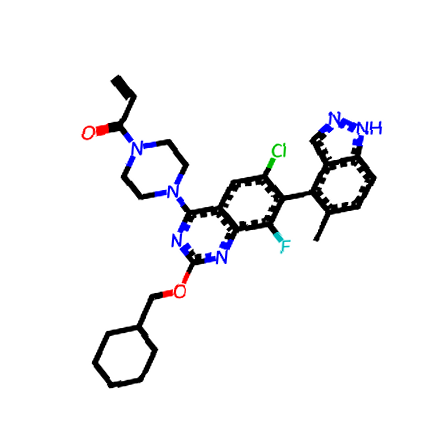 C=CC(=O)N1CCN(c2nc(OCC3CCCCC3)nc3c(F)c(-c4c(C)ccc5[nH]ncc45)c(Cl)cc23)CC1